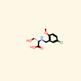 COc1ccc(Cl)cc1CN[C@@H](CO)C(=O)O